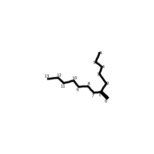 C=C(CCCCC)CCCCCCC